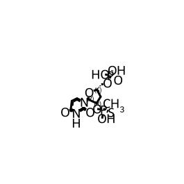 CP(O)(=S)O[C@@H]1C[C@@H](COP(=O)(O)O)O[C@H]1n1ccc(=O)[nH]c1=O